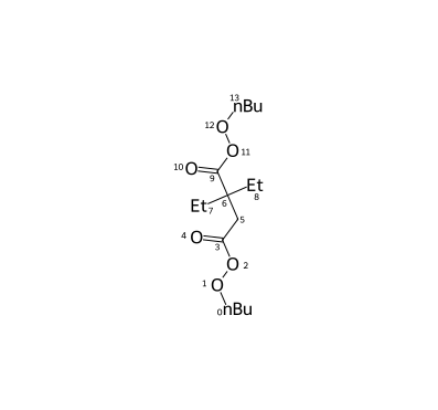 CCCCOOC(=O)CC(CC)(CC)C(=O)OOCCCC